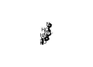 C[C@H](Cc1c[nH]c2c(O[C@H](C)C(=O)N(C)C)cccc12)NC[C@H](O)c1cccnc1